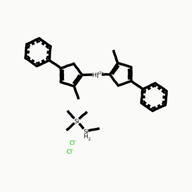 CC1=[C]([Hf+2][C]2=C(C)C=C(c3ccccc3)C2)CC(c2ccccc2)=C1.C[SiH2][Si](C)(C)C.[Cl-].[Cl-]